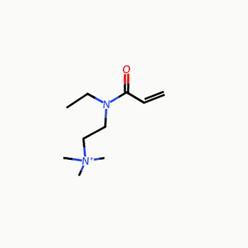 C=CC(=O)N(CC)CC[N+](C)(C)C